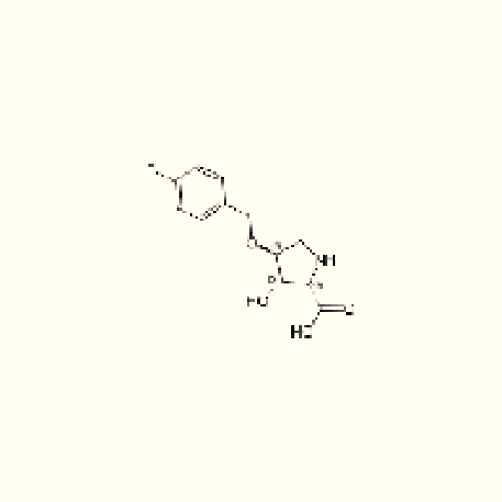 O=C(O)[C@H]1NC[C@H](OCc2ccc(F)cc2)[C@H]1O